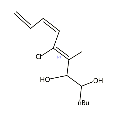 C=C/C=C\C(Cl)=C(/C)C(O)C(O)CCCC